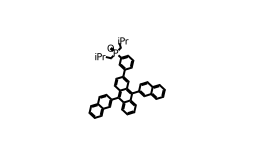 CC(C)CP(=O)(CC(C)C)c1cccc(-c2ccc3c(-c4ccc5ccccc5c4)c4ccccc4c(-c4ccc5ccccc5c4)c3c2)c1